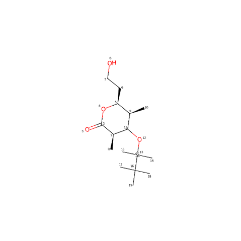 C[C@H]1C(=O)O[C@@H](CCO)[C@@H](C)C1O[Si](C)(C)C(C)(C)C